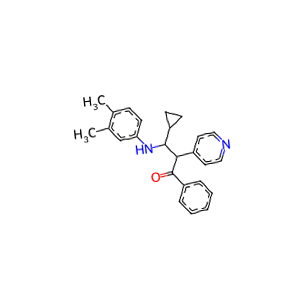 Cc1ccc(NC(C2CC2)C(C(=O)c2ccccc2)c2ccncc2)cc1C